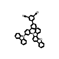 N#Cc1cc(C#N)cc(-c2cccc(-c3ccc(-n4c5ccccc5c5ccccc54)cc3-n3c4ccccc4c4c5oc6ccccc6c5ccc43)c2)c1